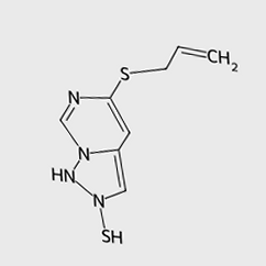 C=CCSC1=CC2=CN(S)NN2C=N1